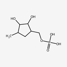 CC1CC(COP(=O)(O)O)C(O)C1O